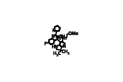 COCCN(C)c1cnc2c(c1-c1c(C)c(-c3ccccn3)nc3cc(F)ccc13)NCC2(C)C